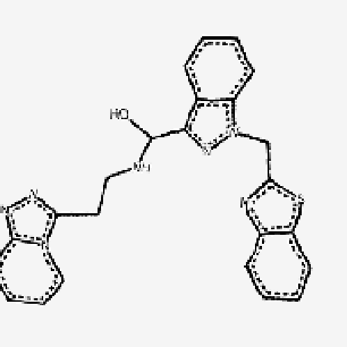 OC(NCCc1nnc2ccccn12)c1nn(Cc2nc3ccccc3s2)c2ccccc12